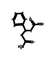 NC(=O)CC(CC(=O)O)c1ccccc1